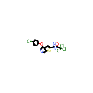 Clc1ccc(Oc2cncc3sc(-c4noc(C(Cl)(Cl)Cl)n4)cc23)cc1